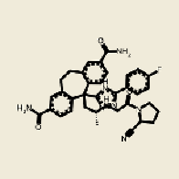 C[C@H](CC1(c2nnc(-c3ccc(F)cc3)[nH]2)c2ccc(C(N)=O)cc2CCc2cc(C(N)=O)ccc21)NCC(=O)N1CCCC1C#N